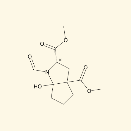 COC(=O)[C@@H]1CC2(C(=O)OC)CCCC2(O)N1C=O